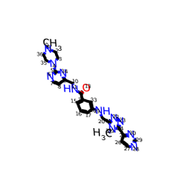 CN1CCN(c2nccc(CNC(=O)c3cccc(NCc4nnc(-c5ccncn5)n4C)c3)n2)CC1